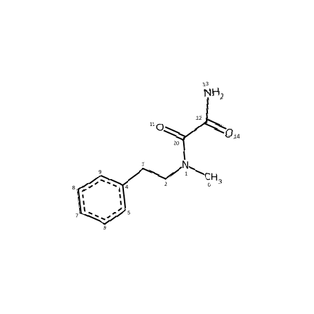 CN(CCc1ccccc1)C(=O)C(N)=O